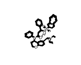 CCN(CC)Cc1ccc2c(c1)C(N(C(=O)CC(NS(=O)(=O)c1ccc3ccccc3c1)c1ccccc1)c1ccccc1)CCO2